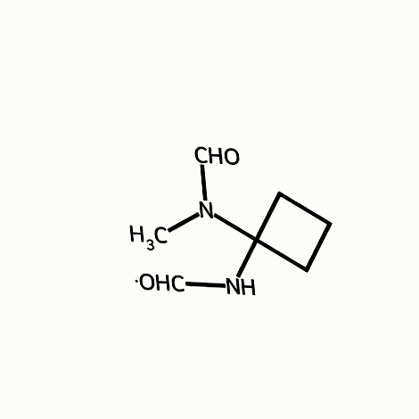 CN(C=O)C1(N[C]=O)CCC1